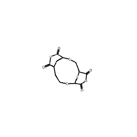 O=C1OC(=O)C2CCC3CC(CCCC1C2)C(=O)OC3=O